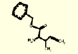 C=CC(C)C(N)C(=O)OCc1ccccc1